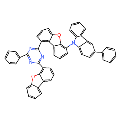 c1ccc(-c2ccc3c(c2)c2ccccc2n3-c2cccc3c2oc2cccc(-c4nc(-c5ccccc5)nc(-c5cccc6c5oc5ccccc56)n4)c23)cc1